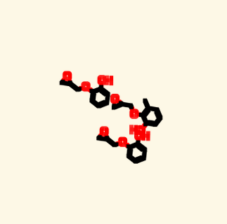 Cc1cccc(O)c1OCC1CO1.Oc1ccccc1OCC1CO1.Oc1ccccc1OCC1CO1